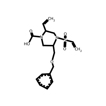 C=CC1CN(S(=O)(=O)C=C)C(COCc2ccccc2)CN1C(=O)O